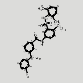 COc1ccc(NC(=O)c2cccc([C@H](F)c3cccc(F)c3)c2)cc1S(=O)(=O)Nc1c(C)cccc1C